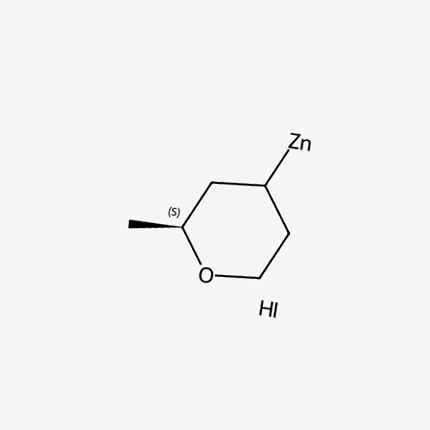 C[C@H]1C[CH]([Zn])CCO1.I